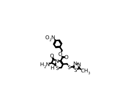 Cc1nnc(SCC2=C(C(=O)OCc3ccc([N+](=O)[O-])cc3)N3C(=O)C(N)[C@@H]3SC2)s1